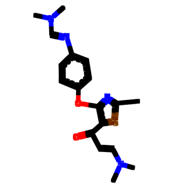 Cc1nc(Oc2ccc(N=CN(C)C)cc2)c(C(=O)/C=C/N(C)C)s1